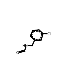 O=[C]NCc1cccc(Cl)c1